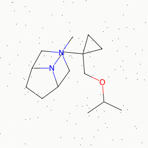 CC(C)OCC1(CN2C3CCC2CN(C)C3)CC1